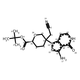 CC(C)(C)OC(=O)[C@@H]1CCC(CC#N)(n2nc(N)c3c(=O)[nH]ccc32)CO1